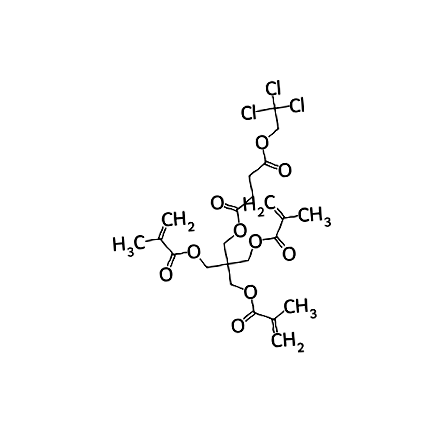 C=C(C)C(=O)OCC(COC(=O)CCC(=O)OCC(Cl)(Cl)Cl)(COC(=O)C(=C)C)COC(=O)C(=C)C